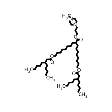 CCCCCC(CCCCC)CC(=O)OCCCCCCCCC(CCCCCCCCOC(=O)CC(CCCCC)CCCCC)C(=O)OCCCN1CCN(C)CC1